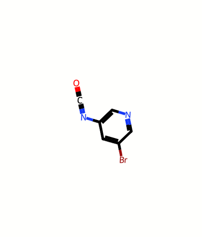 O=C=Nc1cncc(Br)c1